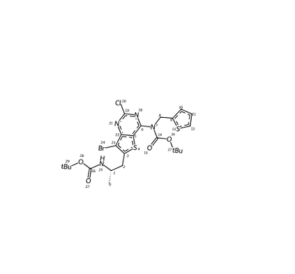 C[C@@H](Cc1sc2c(N(Cc3cccs3)C(=O)OC(C)(C)C)nc(Cl)nc2c1Br)NC(=O)OC(C)(C)C